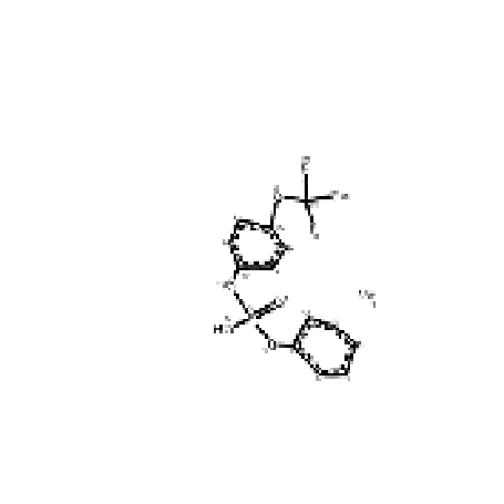 F.O=P(O)(Oc1ccccc1)Oc1ccc(OC(F)(F)F)cc1